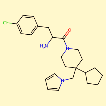 NC(Cc1ccc(Cl)cc1)C(=O)N1CCC(Cn2cccc2)(C2CCCC2)CC1